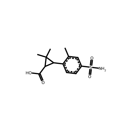 Cc1cc(S(N)(=O)=O)ccc1C1C(C(=O)O)C1(C)C